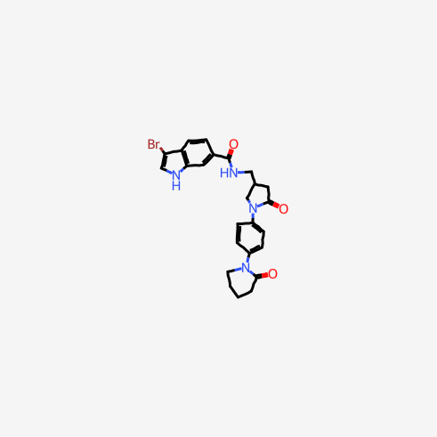 O=C(NCC1CC(=O)N(c2ccc(N3CCCCC3=O)cc2)C1)c1ccc2c(Br)c[nH]c2c1